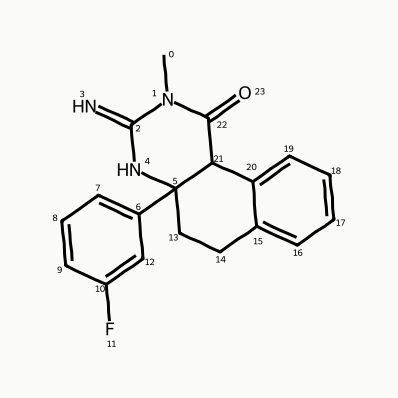 CN1C(=N)NC2(c3cccc(F)c3)CCc3ccccc3C2C1=O